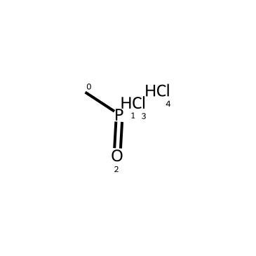 CP=O.Cl.Cl